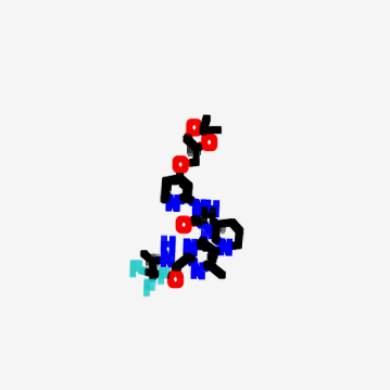 Cc1nc(C(=O)N[C@H](C)C(F)(F)F)nc2c1N1CCC[C@@H](C1)N2C(=O)Nc1cc(OC[C@H]2COC(C)(C)O2)ccn1